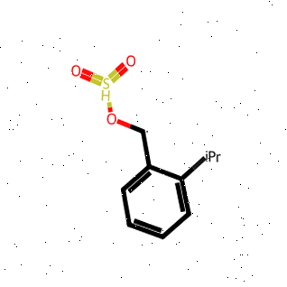 CC(C)c1ccccc1[CH]O[SH](=O)=O